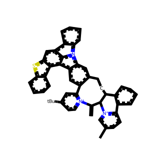 C=C1C2C(CCc3cc4c(cc3-c3cc(C(C)(C)C)cc[n+]31)c1c3c(cc5c6ccccc6n4c51)sc1ccccc13)c1ccccc1-c1ccc(C)c[n+]12